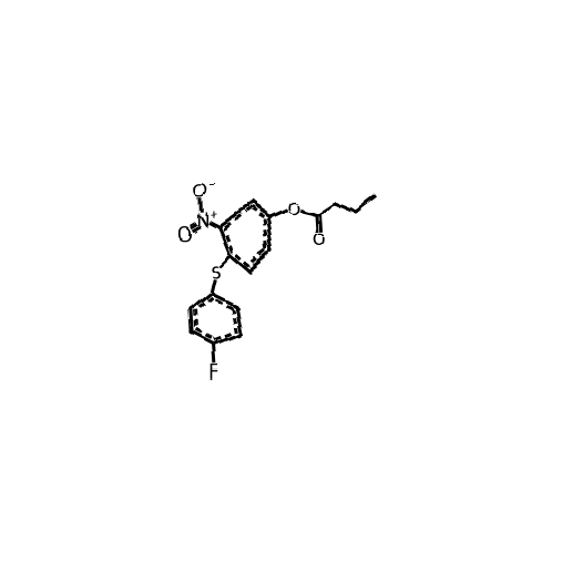 CCCC(=O)Oc1ccc(Sc2ccc(F)cc2)c([N+](=O)[O-])c1